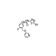 CC(C)c1nnc(NC(=O)Nc2ccc(F)c(COc3cccnc3)c2)s1